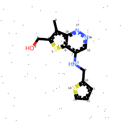 Cc1c(CO)sc2c(NCc3cccs3)cnnc12